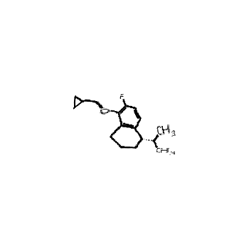 CC(C)[C@@H]1CCCc2c1ccc(F)c2OCC1CC1